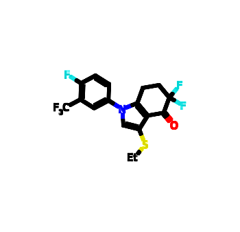 CCSc1cn(-c2ccc(F)c(C(F)(F)F)c2)c2c1C(=O)C(F)(F)CC2